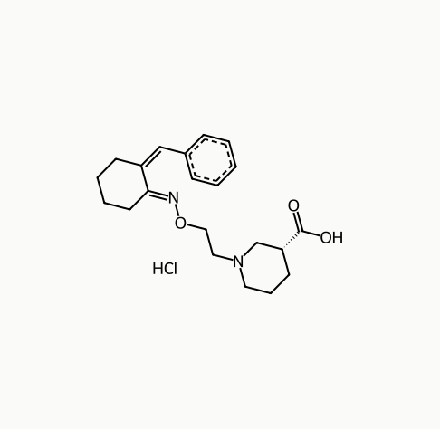 Cl.O=C(O)[C@@H]1CCCN(CCO/N=C2\CCCC\C2=C\c2ccccc2)C1